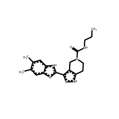 CCCNC(=O)N1CCc2[nH]nc(-c3nc4cc(C)c(C)cc4[nH]3)c2C1